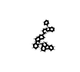 c1ccc(-n2c3ccccc3c3cc(-c4ccc5c(ccc6c7ccccc7n(-c7ncc8c9c(cccc79)-c7ccccc7-8)c56)c4)ccc32)cc1